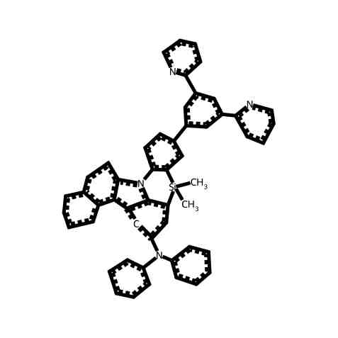 C[Si]1(C)c2cc(-c3cc(-c4ccccn4)cc(-c4ccccn4)c3)ccc2-n2c3ccc4ccccc4c3c3cc(N(c4ccccc4)c4ccccc4)cc1c32